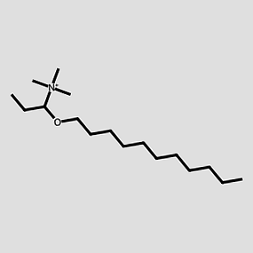 CCCCCCCCCCCOC(CC)[N+](C)(C)C